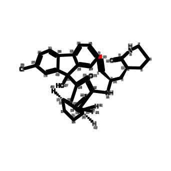 N#C[C@@H](C[C@@H]1CCCNC1=O)NC(=O)[C@@H]1[C@H]2CC[C@H](CC2(F)F)N1C(=O)C1(O)c2ccccc2-c2ccc(Cl)cc21